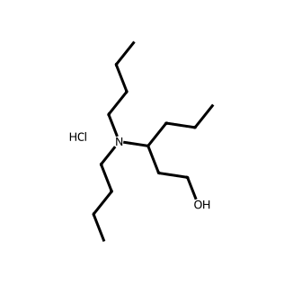 CCCCN(CCCC)C(CCC)CCO.Cl